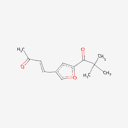 CC(=O)/C=C/c1coc(C(=O)C(C)(C)C)c1